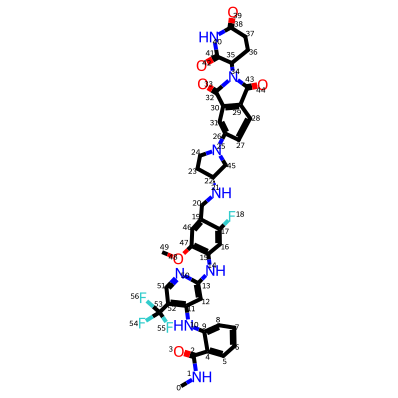 CNC(=O)c1ccccc1Nc1cc(Nc2cc(F)c(CN[C@@H]3CCN(c4ccc5c(c4)C(=O)N(C4CCC(=O)NC4=O)C5=O)C3)cc2OC)ncc1C(F)(F)F